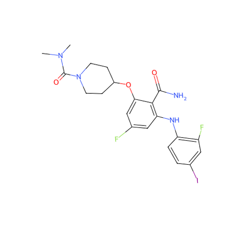 CN(C)C(=O)N1CCC(Oc2cc(F)cc(Nc3ccc(I)cc3F)c2C(N)=O)CC1